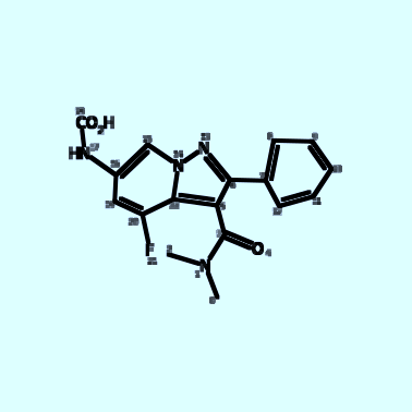 CN(C)C(=O)c1c(-c2ccccc2)nn2cc(NC(=O)O)cc(F)c12